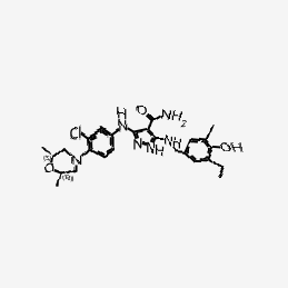 CCc1cc(CNc2[nH]nc(Nc3ccc(N4C[C@@H](C)O[C@@H](C)C4)c(Cl)c3)c2C(N)=O)cc(C)c1O